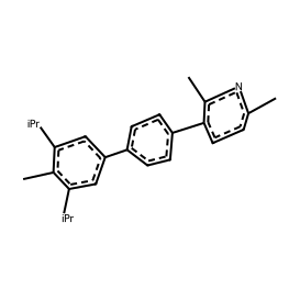 Cc1ccc(-c2ccc(-c3cc(C(C)C)c(C)c(C(C)C)c3)cc2)c(C)n1